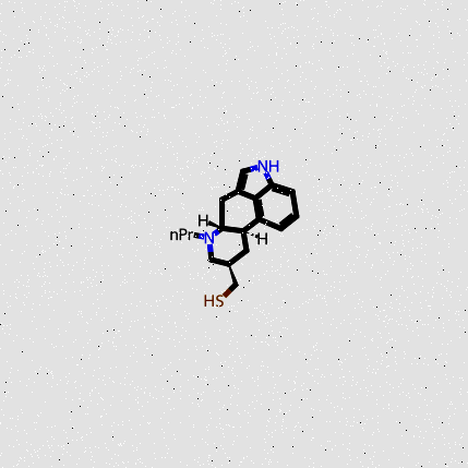 CCCN1C[C@H](CS)C[C@@H]2c3cccc4[nH]cc(c34)C[C@H]21